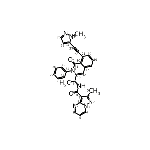 Cc1nn2cccnc2c1C(=O)NC(C)c1cc2cccc(C#Cc3ccnn3C)c2c(=O)n1-c1ccccc1